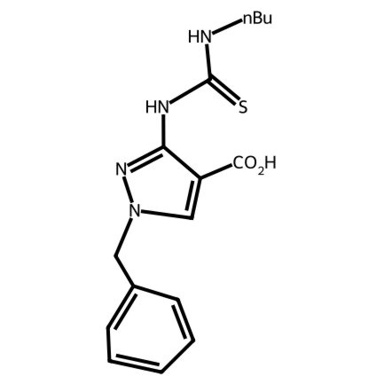 CCCCNC(=S)Nc1nn(Cc2ccccc2)cc1C(=O)O